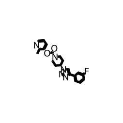 Cc1ncccc1OC(=O)N1CCC(n2cc(-c3cccc(F)c3)nn2)CC1